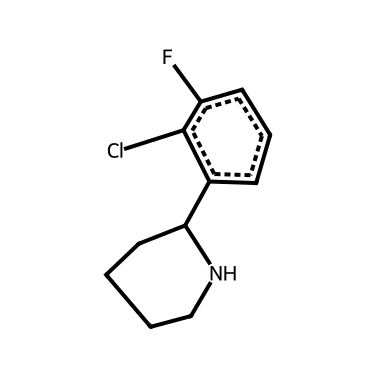 Fc1cccc(C2CCCCN2)c1Cl